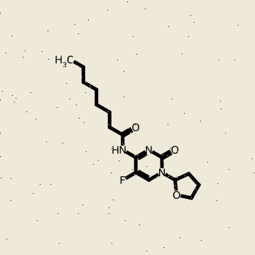 CCCCCCCC(=O)Nc1nc(=O)n(C2CCCO2)cc1F